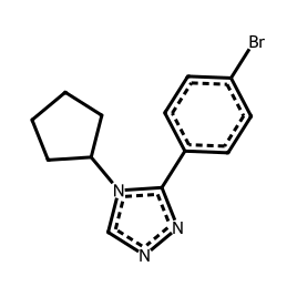 Brc1ccc(-c2nncn2C2CCCC2)cc1